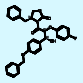 O=C1OC[C@H](Cc2ccccc2)N1C(=O)[C@@H](Oc1ccc(F)cc1)[C@H](O)c1ccc(OCc2ccccc2)cc1